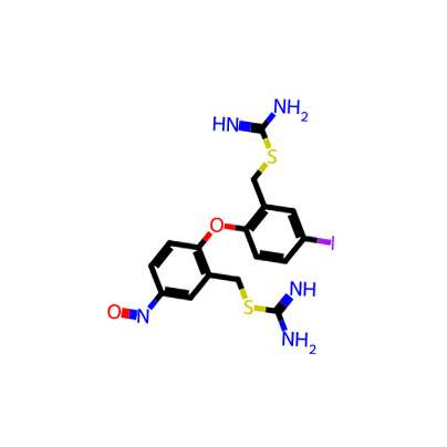 N=C(N)SCc1cc(I)ccc1Oc1ccc(N=O)cc1CSC(=N)N